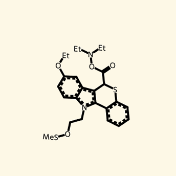 CCOc1ccc2c(c1)c1c(n2CCOSC)-c2ccccc2SC1C(=O)ON(CC)CC